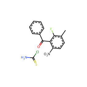 Cc1ccc([N+](=O)[O-])c(C(=O)c2ccccc2)c1F.NC(=S)Cl